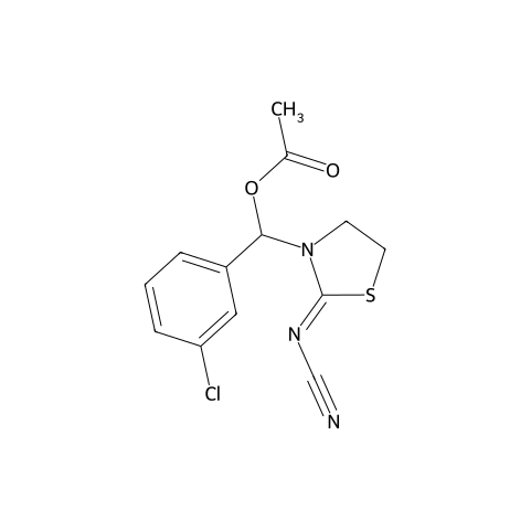 CC(=O)OC(c1cccc(Cl)c1)N1CCSC1=NC#N